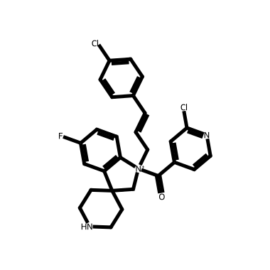 O=C(c1ccnc(Cl)c1)[N+]1(C/C=C/c2ccc(Cl)cc2)CC2(CCNCC2)c2cc(F)ccc21